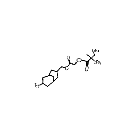 CCC1CC2CC(COC(=O)COC(=O)C(C)(CC(C)(C)C)C(C)(C)C)CC(C1)C2